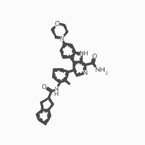 Cc1c(NC(=O)C2Cc3ccccc3C2)cccc1-c1cnc(C(N)=O)c2[nH]c3cc(N4CCOCC4)ccc3c12